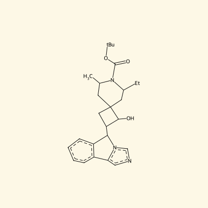 CCC1CC2(CC(C3c4ccccc4-c4cncn43)C2O)CC(C)N1C(=O)OC(C)(C)C